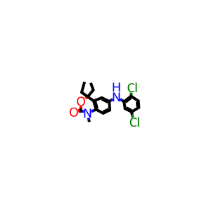 CCC1(CC)OC(=O)N(C)c2ccc(Nc3cc(Cl)ccc3Cl)cc21